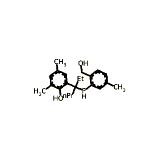 CCCC(CC)(Pc1cc(C)ccc1CO)c1cc(C)cc(C)c1O